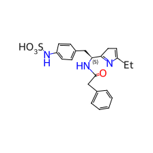 CCC1=CCC([C@H](Cc2ccc(NS(=O)(=O)O)cc2)NC(=O)Cc2ccccc2)=N1